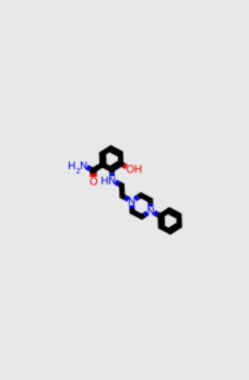 NC(=O)c1cccc(O)c1NCCN1CCN(c2ccccc2)CC1